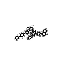 c1ccc(-c2ccc(-c3ccc4c(c3)oc3cccc(-c5nc(-c6ccccc6)nc(-c6ccc(-c7cccc8ccccc78)cc6)n5)c34)cc2)cc1